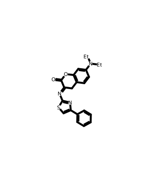 CCN(CC)c1ccc2c(c1)OC(=O)C(=Nc1nc(-c3ccccc3)cs1)C2